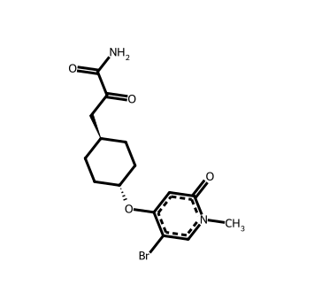 Cn1cc(Br)c(O[C@H]2CC[C@H](CC(=O)C(N)=O)CC2)cc1=O